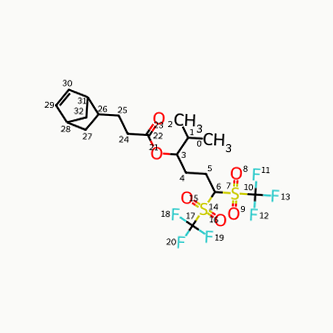 CC(C)C(CCC(S(=O)(=O)C(F)(F)F)S(=O)(=O)C(F)(F)F)OC(=O)CCC1CC2C=CC1C2